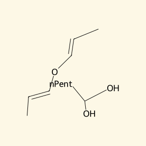 CC=COC=CC.CCCCCC(O)O